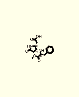 COC(=O)[C@H](Cc1ccccc1)N[C@@H]1CC(=O)N[C@@H]1CC(=O)O